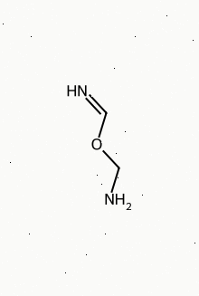 N=COCN